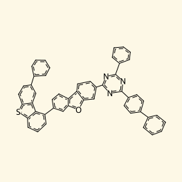 c1ccc(-c2ccc(-c3nc(-c4ccccc4)nc(-c4ccc5c(c4)oc4cc(-c6cccc7sc8ccc(-c9ccccc9)cc8c67)ccc45)n3)cc2)cc1